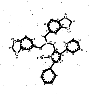 CCCCn1c(-c2ccccc2)nc(-c2ccccn2)c1CN(Cc1ccc2c(c1)OCO2)Cc1ccc2c(c1)OCO2